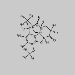 [2H]c1c([2H])c2c3c(c1OC([2H])([2H])[2H])OC1([2H])C(=O)C([2H])([2H])C[C@H]4[C@H](N(C([2H])([2H])[2H])CC[C@@]341)C2([2H])[2H]